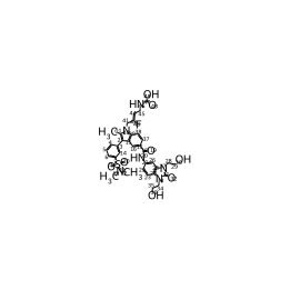 Cc1c(-c2cccc(S(=O)(=O)N(C)C)c2)c2cc(C(=O)Nc3ccc4c(c3)n(CCO)c(=O)n4CCO)ccc2n1CC(F)=CCNC(=O)O